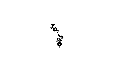 O=C(c1ccc(OCCCC2CCCN2NS(=O)(=O)c2ccc(F)cc2)cc1)C1CC1